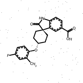 Cc1cc(F)ccc1O[C@H]1CC[C@@]2(CC1)C(=O)Nc1ccc(C(=O)O)cc12